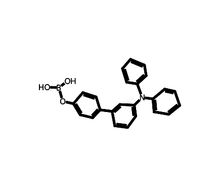 OB(O)Oc1ccc(-c2cccc(N(c3ccccc3)c3ccccc3)c2)cc1